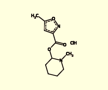 Cc1cc(C(=O)OC2CCCCN2C)no1.Cl